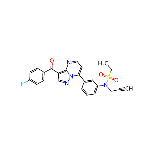 C#CCN(c1cccc(-c2ccnc3c(C(=O)c4ccc(F)cc4)cnn23)c1)S(=O)(=O)CC